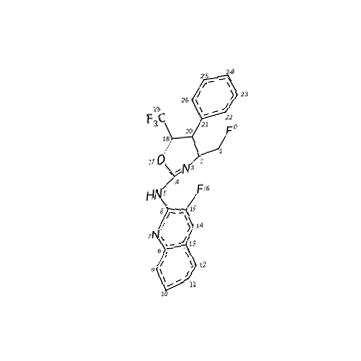 FCC1N=C(Nc2nc3ccccc3cc2F)OC(C(F)(F)F)C1c1ccccc1